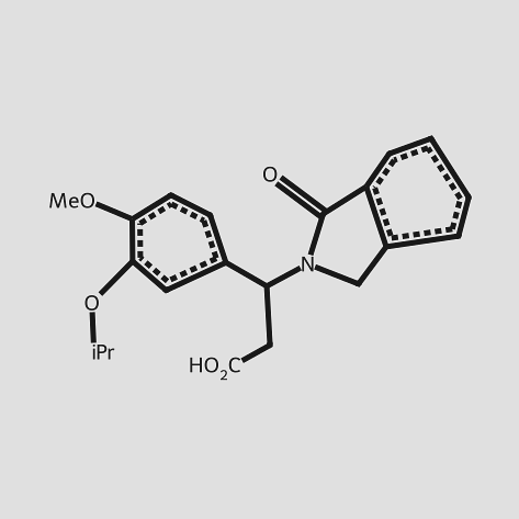 COc1ccc(C(CC(=O)O)N2Cc3ccccc3C2=O)cc1OC(C)C